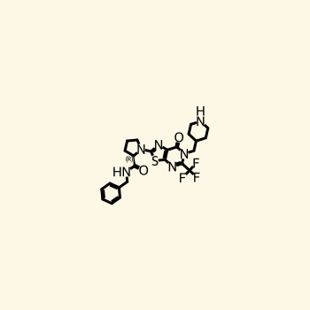 O=C(NCc1ccccc1)[C@H]1CCCN1c1nc2c(=O)n(CC3CCNCC3)c(C(F)(F)F)nc2s1